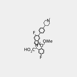 COCOc1ccc(F)cc1C(C(=O)O)n1cc2cc(F)c(-c3ccc(C4CCN(C)CC4)cc3)cc2n1